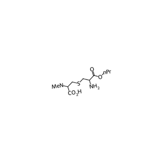 CCCOC(=O)C(N)CSCC(NC)C(=O)O